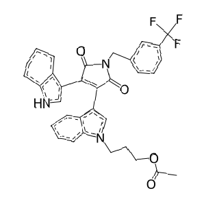 CC(=O)OCCCn1cc(C2=C(c3c[nH]c4ccccc34)C(=O)N(Cc3cccc(C(F)(F)F)c3)C2=O)c2ccccc21